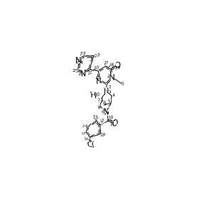 Cn1c(N2CC3C[C@H]2CN3C(=O)c2cccc(Cl)c2)nc(-c2ccncn2)cc1=O